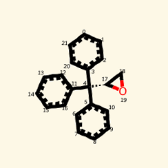 c1ccc(C(c2ccccc2)(c2ccccc2)[C@@H]2CO2)cc1